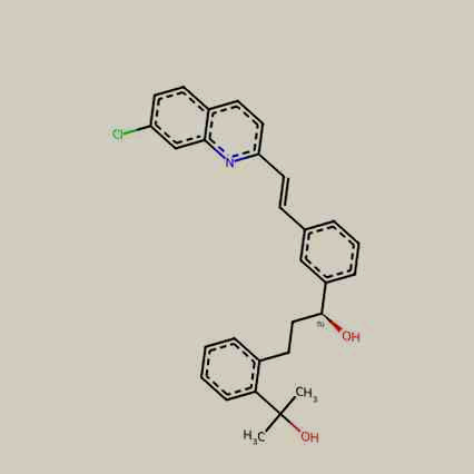 CC(C)(O)c1ccccc1CC[C@H](O)c1cccc(C=Cc2ccc3ccc(Cl)cc3n2)c1